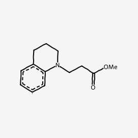 COC(=O)CCN1CCCc2cc[c]cc21